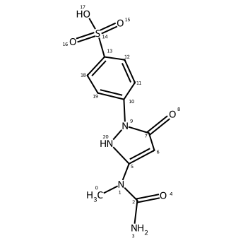 CN(C(N)=O)c1cc(=O)n(-c2ccc(S(=O)(=O)O)cc2)[nH]1